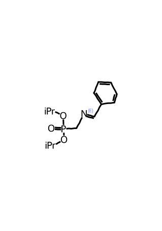 CC(C)OP(=O)(C/N=C/c1ccccc1)OC(C)C